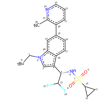 CC(C)(C)Cn1cc([C@H](NS(=O)(=O)C2CC2)C(F)F)c2ccc(-c3cccnc3C#N)cc21